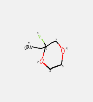 CC(C)(C)C1(F)COCCO1